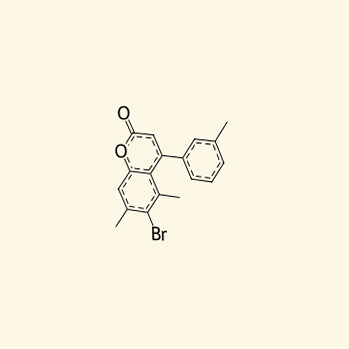 Cc1cccc(-c2cc(=O)oc3cc(C)c(Br)c(C)c23)c1